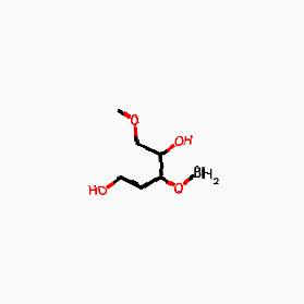 BOC(CCO)C(O)COC